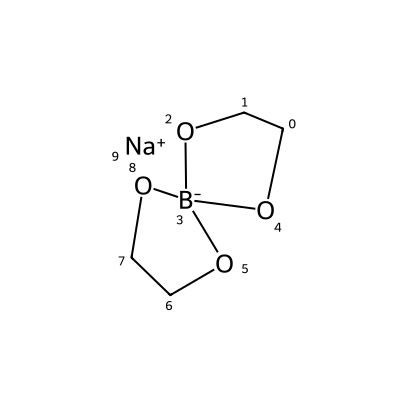 C1CO[B-]2(O1)OCCO2.[Na+]